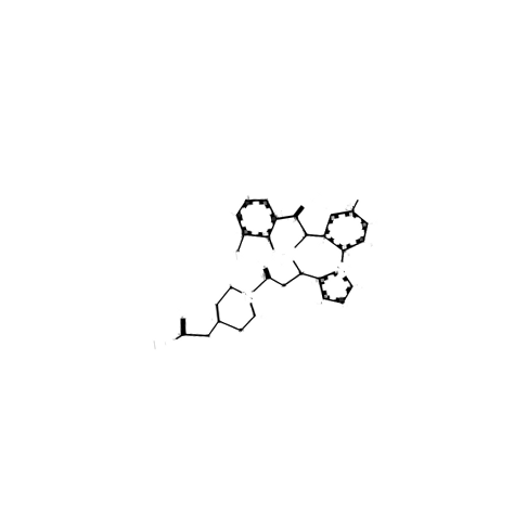 O=C(O)CC1CCN(C(=O)CC2OC(C(=O)c3cccc(Cl)c3Cl)c3cc(Cl)ccc3-n3cccc32)CC1